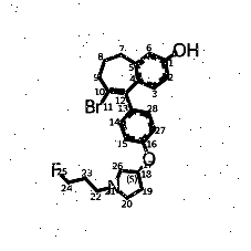 Oc1ccc2c(c1)CCCC(Br)=C2c1ccc(O[C@H]2CCN(CCCF)C2)cc1